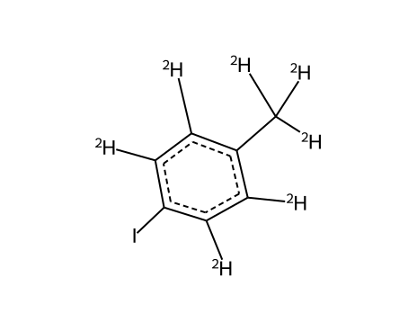 [2H]c1c([2H])c(C([2H])([2H])[2H])c([2H])c([2H])c1I